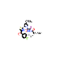 CN[C@@H](C)C(=O)N[C@@H](I)C(=O)N1C[C@@H](OC)C[C@H]1c1nc(C(=O)c2ccc(F)cc2)cs1